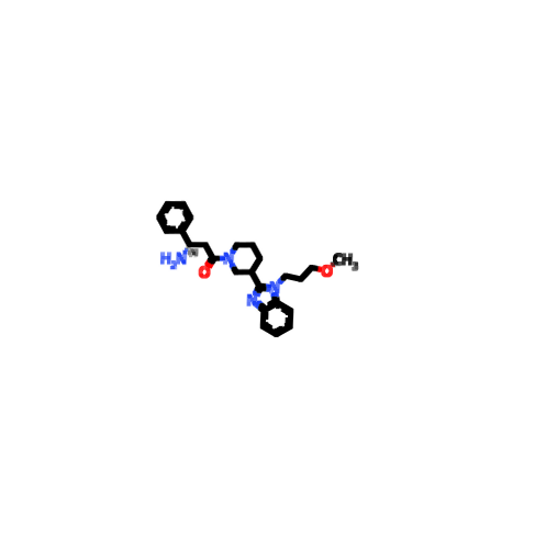 COCCCn1c(C2CCCN(C(=O)C[C@H](N)c3ccccc3)C2)nc2ccccc21